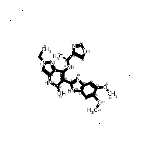 CCn1cc2c(n1)C(N[C@@H](C)c1cocn1)=C(c1nc3cc(OC)c(OC)cc3[nH]1)C(O)N2